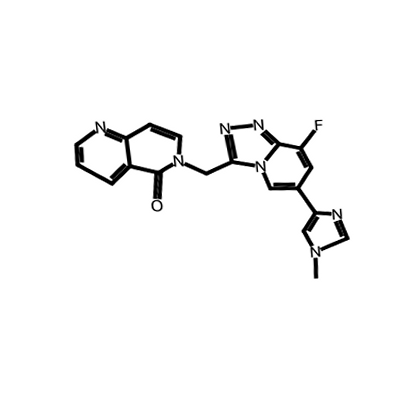 Cn1cnc(-c2cc(F)c3nnc(Cn4ccc5ncccc5c4=O)n3c2)c1